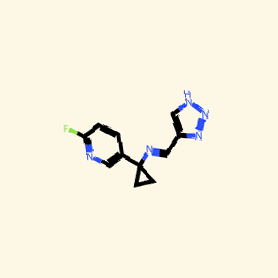 Fc1ccc(C2(N=Cc3c[nH]nn3)CC2)cn1